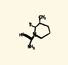 CC1CCCN(C(=N)N)C1F